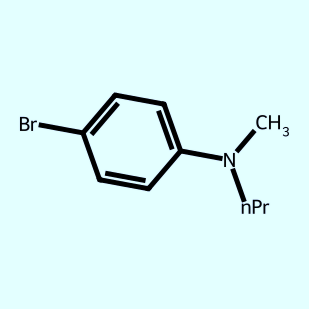 CCCN(C)c1ccc(Br)cc1